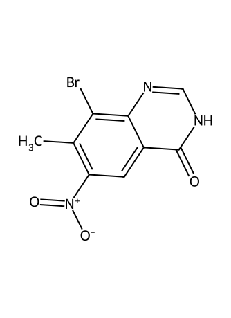 Cc1c([N+](=O)[O-])cc2c(=O)[nH]cnc2c1Br